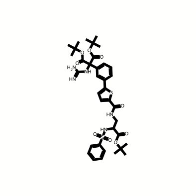 CC(C)(C)OC(=O)C(CNC(=O)c1ccc(-c2cccc(C(NC(=N)N)(C(=O)OC(C)(C)C)C(=O)OC(C)(C)C)c2)s1)NS(=O)(=O)c1ccccc1